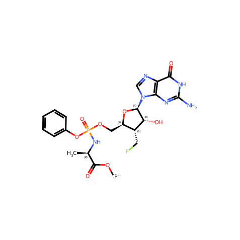 CC(C)OC(=O)[C@@H](C)NP(=O)(OC[C@H]1O[C@@H](n2cnc3c(=O)[nH]c(N)nc32)[C@H](O)[C@@H]1CF)Oc1ccccc1